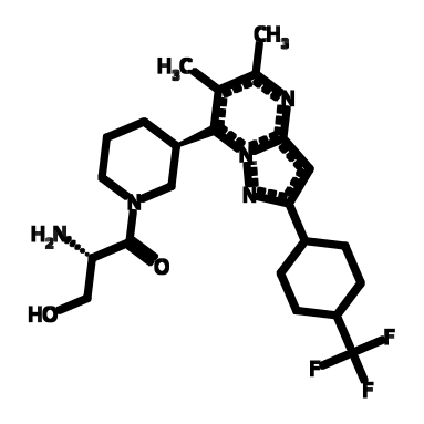 Cc1nc2cc(C3CCC(C(F)(F)F)CC3)nn2c([C@@H]2CCCN(C(=O)[C@@H](N)CO)C2)c1C